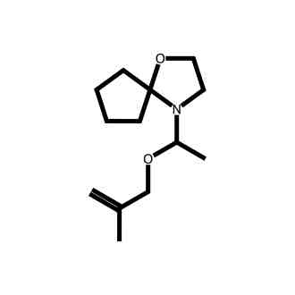 C=C(C)COC(C)N1CCOC12CCCC2